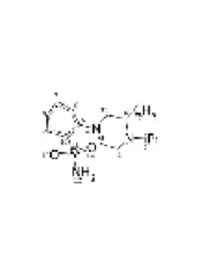 CC(C)N1CCN(c2ccccc2S(N)(=O)=O)C[C@@H]1C